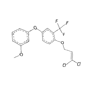 COc1cccc(Oc2ccc(OCC=C(Cl)Cl)c(C(F)(F)F)c2)c1